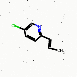 [CH2]/C=C/c1ccc(Cl)cn1